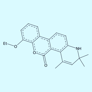 CCOc1cccc2c1oc(=O)c1c3c(ccc12)NC(C)(C)C=C3C